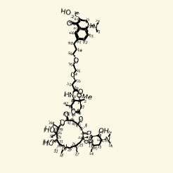 CO[C@]1(C)C[C@H](O[C@H]2[C@H](C)[C@@H](O[C@@H]3O[C@H](C)C[C@H](N(C)C)[C@H]3O)[C@](C)(O)C[C@@H](C)CN(C)[C@H](C)[C@@H](O)[C@](C)(O)[C@@H](I)OC(=O)[C@@H]2C)O[C@@H](C)[C@H]1NC(=O)CCOCCOCCCc1ccc2c(c1)c(=O)c(C(=O)O)cn2N(C)C